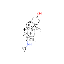 C[C@]12CCC(O)CC1=CC[C@@H]1[C@H]2CC[C@]2(C)C(NC3CC3)CC[C@@H]12